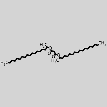 CCCCCCCCCCCCCCCCC(C)OC(=O)CC(=O)OC(C)CCCCCCCCCCCCCCCC